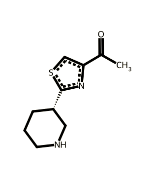 CC(=O)c1csc([C@H]2CCCNC2)n1